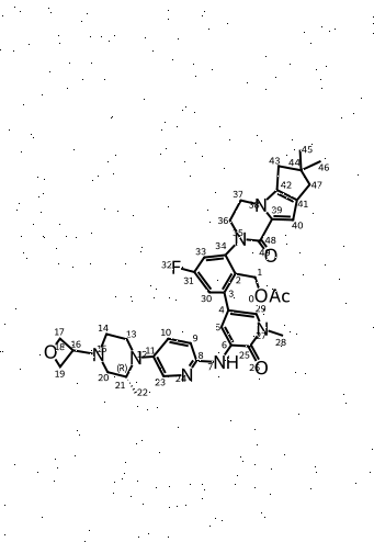 CC(=O)OCc1c(-c2cc(Nc3ccc(N4CCN(C5COC5)C[C@H]4C)cn3)c(=O)n(C)c2)cc(F)cc1N1CCn2c(cc3c2CC(C)(C)C3)C1=O